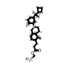 CCOC(=O)CCc1ccc2c(c1F)CCN(c1cc(C(F)(F)C3CCC3)ccc1F)C2